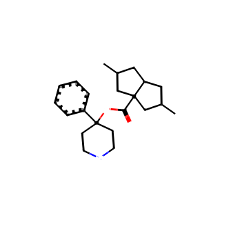 CC1CC2CC(C)CC2(C(=O)OC2(c3ccccc3)CCNCC2)C1